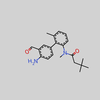 Cc1cccc(N(C)C(=O)CC(C)(C)C)c1-c1ccc(N)c(C=O)c1